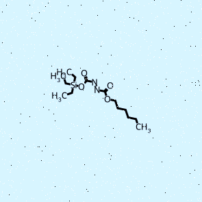 CCCCCCOC(=O)/N=N/C(=O)O[Si](CC)(CC)CC